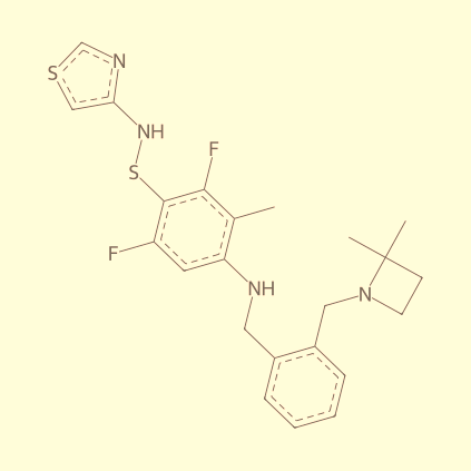 Cc1c(NCc2ccccc2CN2CCC2(C)C)cc(F)c(SNc2cscn2)c1F